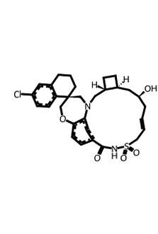 O=C1NS(=O)(=O)C/C=C/C[C@H](O)C[C@@H]2CC[C@H]2CN2C[C@@]3(CCCc4cc(Cl)ccc43)COc3ccc1cc32